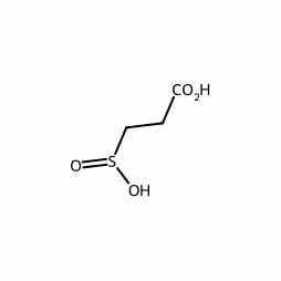 O=C(O)CCS(=O)O